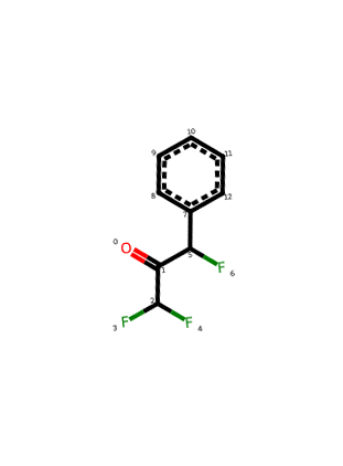 O=C(C(F)F)C(F)c1ccccc1